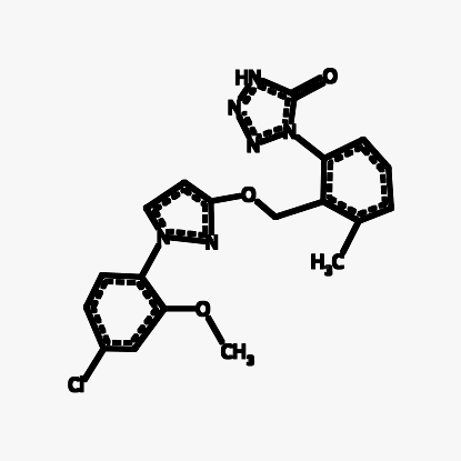 COc1cc(Cl)ccc1-n1ccc(OCc2c(C)cccc2-n2nn[nH]c2=O)n1